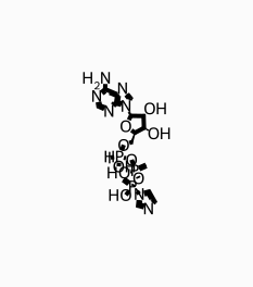 C=P(O)(OP(=C)(O)n1ccnc1)O[PH](O)(I)OC[C@H]1O[C@@H](n2cnc3c(N)ncnc32)[C@H](O)[C@@H]1O